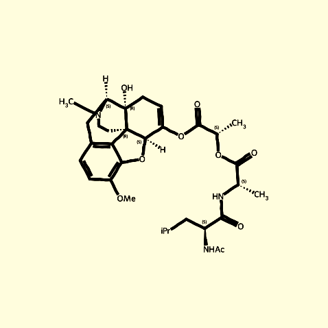 COc1ccc2c3c1O[C@@H]1C(OC(=O)[C@H](C)OC(=O)[C@H](C)NC(=O)[C@H](CC(C)C)NC(C)=O)=CC[C@]4(O)[C@H](C2)N(C)CC[C@@]314